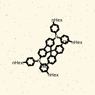 CCCCCCc1ccc(N(c2ccc(CCCCCC)cc2)c2ccc3c(c2)C2(c4cc(C#N)ccc4-c4ccc(C#N)cc42)c2cc(N(c4ccc(CCCCCC)cc4)c4ccc(CCCCCC)cc4)ccc2-3)cc1